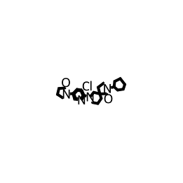 O=C1CCCN1c1cnc(N2CCCC3(CCN(C4CCCCC4)C3=O)C2)c(Cl)c1